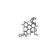 C=CC(=O)N1Cc2sc(Cl)cc2[C@@H](c2ccccc2-c2cccnc2OC(C)C)C1